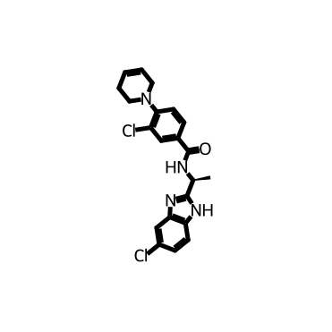 C[C@H](NC(=O)c1ccc(N2CC=CCC2)c(Cl)c1)c1nc2cc(Cl)ccc2[nH]1